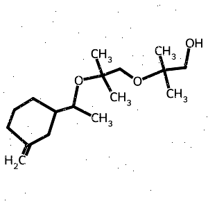 C=C1CCCC(C(C)OC(C)(C)COC(C)(C)CO)C1